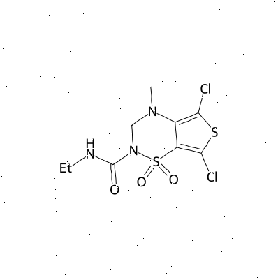 CCNC(=O)N1CN(C)c2c(Cl)sc(Cl)c2S1(=O)=O